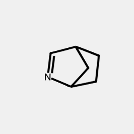 C1=N[C]2CCC1C2